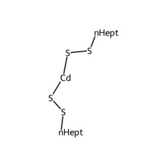 CCCCCCCS[S][Cd][S]SCCCCCCC